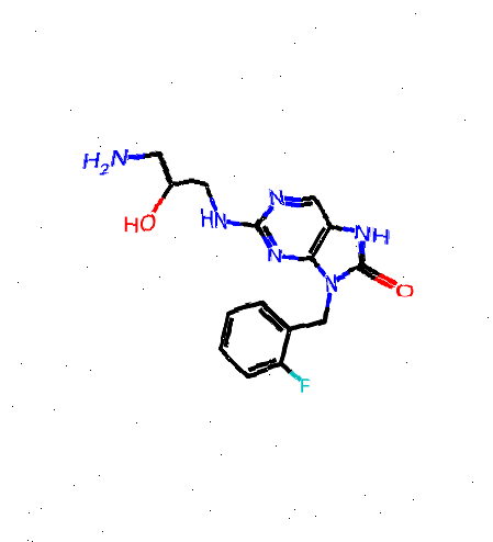 NCC(O)CNc1ncc2[nH]c(=O)n(Cc3ccccc3F)c2n1